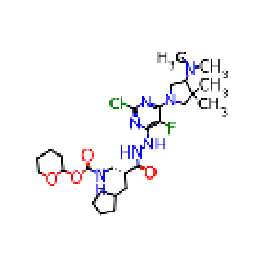 CN(C)C1CN(c2nc(Cl)nc(NNC(=O)[C@@H](CNC(=O)OC3CCCCO3)CC3CCCC3)c2F)CC1(C)C